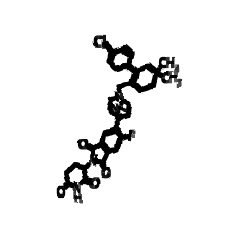 CC1(C)CCC(CN2CC3CCC2CN3c2cc3c(cc2F)C(=O)N(C2CCC(=O)NC2=O)C3=O)=C(c2ccc(Cl)cc2)C1